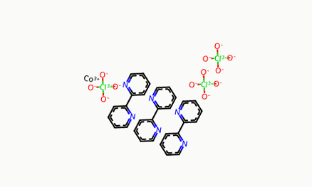 [Co+3].[O-][Cl+3]([O-])([O-])[O-].[O-][Cl+3]([O-])([O-])[O-].[O-][Cl+3]([O-])([O-])[O-].c1ccc(-c2ccccn2)nc1.c1ccc(-c2ccccn2)nc1.c1ccc(-c2ccccn2)nc1